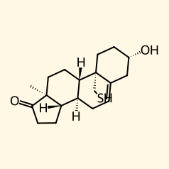 C[C@]12CC[C@H]3[C@@H](CC=C4C[C@@H](O)CC[C@@]43CS)[C@@H]1CCC2=O